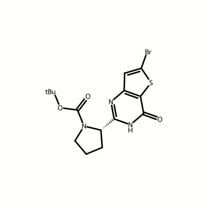 CC(C)(C)OC(=O)N1CCC[C@H]1c1nc2cc(Br)sc2c(=O)[nH]1